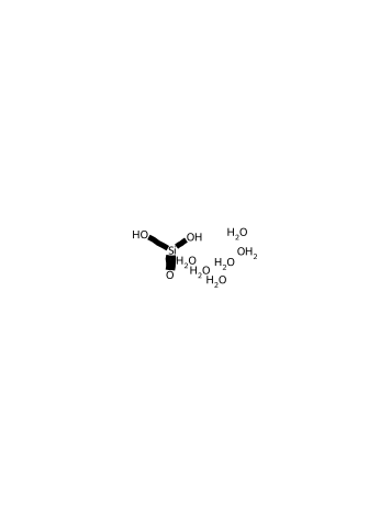 O.O.O.O.O.O.O=[Si](O)O